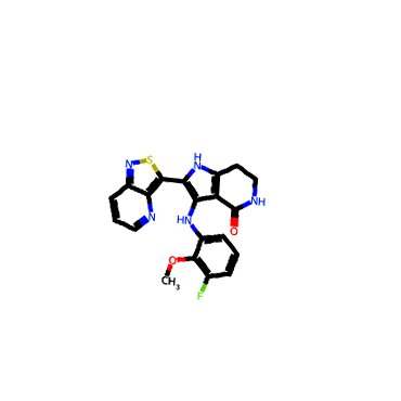 COc1c(F)cccc1Nc1c(-c2snc3cccnc23)[nH]c2c1C(=O)NCC2